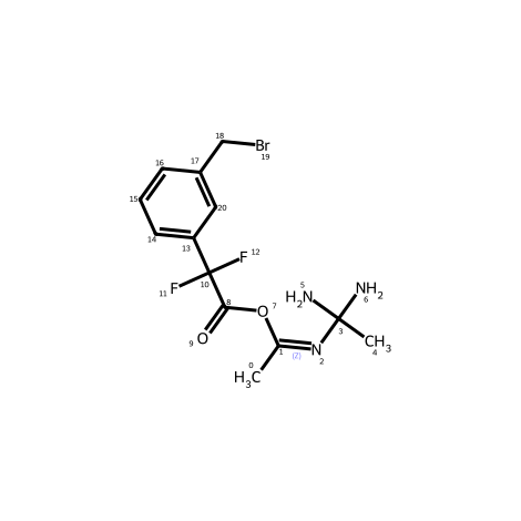 C/C(=N/C(C)(N)N)OC(=O)C(F)(F)c1cccc(CBr)c1